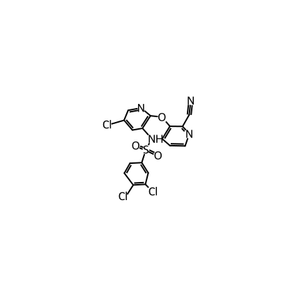 N#Cc1ncccc1Oc1ncc(Cl)cc1NS(=O)(=O)c1ccc(Cl)c(Cl)c1